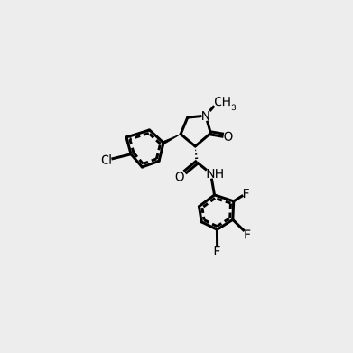 CN1C[C@H](c2ccc(Cl)cc2)[C@@H](C(=O)Nc2ccc(F)c(F)c2F)C1=O